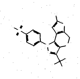 NS(=O)(=O)c1ccc(-n2nc(C(F)(F)F)c3c2-c2cc(Cl)sc2CS3)cc1